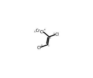 ClC=C(Cl)Cl.[Cr]